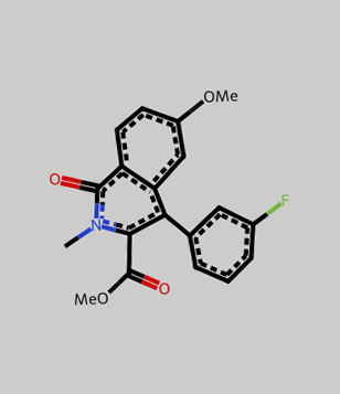 COC(=O)c1c(-c2cccc(F)c2)c2cc(OC)ccc2c(=O)n1C